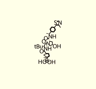 Cc1ncsc1-c1ccc([C@H](C)NC(=O)[C@@H]2C[C@@H](O)CN2C(=O)[C@@H](NC(=O)c2ccc(B(O)O)s2)C(C)(C)C)cc1